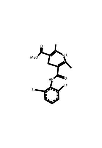 CCc1cccc(CC)c1NC(=O)C1=C(C)NC(C)=C(C(=O)OC)C1